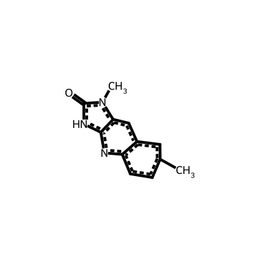 Cc1ccc2nc3[nH]c(=O)n(C)c3cc2c1